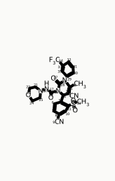 CC1=C(C#N)C(c2ccc(C#N)cc2S(C)(=O)=O)N(C(=O)NN2CCOCC2)C(=O)N1c1cccc(C(F)(F)F)c1